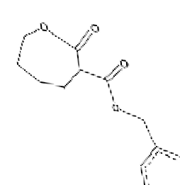 O=C1OCCCCC1C(=O)OCc1ccccc1